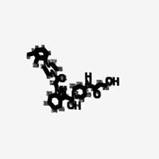 Cc1cccc(N2CCN(C(=O)Cn3nc(C(O)N4CCC(NC(=O)CCO)CC4)c4c3CCCC4)CC2)c1C